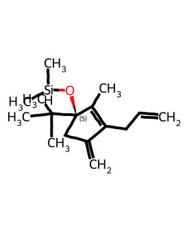 C=CCC1=C(C)[C@@](O[SiH](C)C)(C(C)(C)C)CC1=C